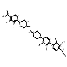 CCOc1ccc(-c2ccc(C3CCC(OCC4CCC(c5ccc(C(C)O)c(F)c5F)CC4)CC3)c(F)c2F)c(F)c1F